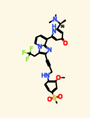 COc1cc(S(C)(=O)=O)ccc1NCC#Cc1nc2c(-c3cc(=O)cc([C@H](C)N(C)C)[nH]3)cccn2c1CC(F)(F)F